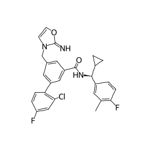 Cc1cc([C@@H](NC(=O)c2cc(Cn3ccoc3=N)cc(-c3ccc(F)cc3Cl)c2)C2CC2)ccc1F